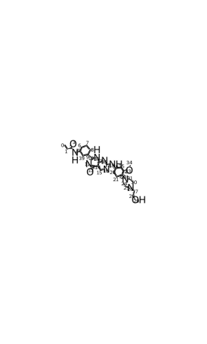 C=CC(=O)Nc1cccc(-c2nc(=O)c3cnc(Nc4ccc(N5CCN(CCO)CC5)c(OC)c4)nc3[nH]2)c1